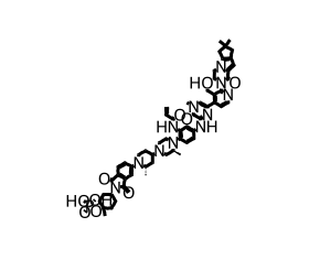 C=CC(=O)Nc1cc(Nc2nc(-c3ccnc(N4CCn5c(cc6c5CC(C)(C)C6)C4=O)c3CO)cn(C)c2=O)ccc1N1CCN(C2CCN(c3ccc4c(c3)C(=O)N(C3CCC(C)(OP(=O)(O)O)CC3)C4=O)[C@@H](C)C2)C[C@@H]1C